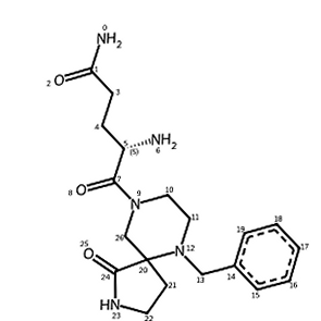 NC(=O)CC[C@H](N)C(=O)N1CCN(Cc2ccccc2)C2(CCNC2=O)C1